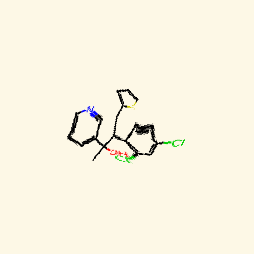 CC(O)(c1cccnc1)C(Cc1cccs1)c1ccc(Cl)cc1Cl